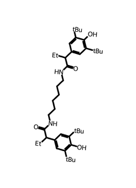 CCC(C(=O)NCCCCCCNC(=O)C(CC)c1cc(C(C)(C)C)c(O)c(C(C)(C)C)c1)c1cc(C(C)(C)C)c(O)c(C(C)(C)C)c1